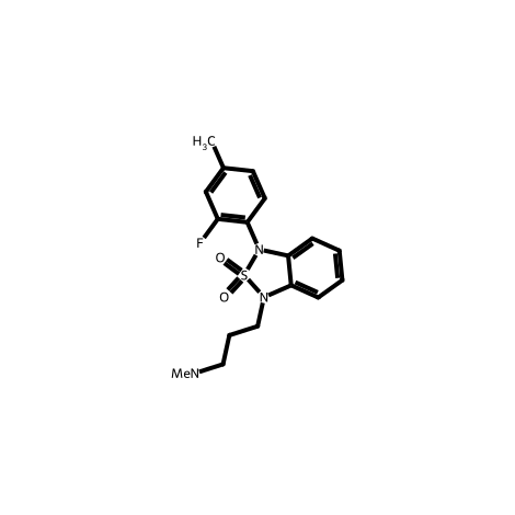 CNCCCN1c2ccccc2N(c2ccc(C)cc2F)S1(=O)=O